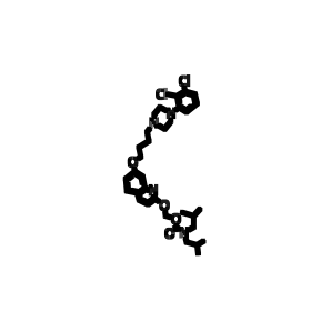 CC(C)CN(CC(C)C)C(=O)OCOc1ccc2ccc(OCCCCN3CCN(c4cccc(Cl)c4Cl)CC3)cc2n1